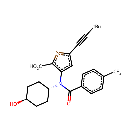 CC(C)(C)C#Cc1cc(N(C(=O)c2ccc(C(F)(F)F)cc2)[C@H]2CC[C@H](O)CC2)c(C(=O)O)s1